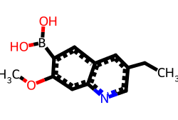 CCc1cnc2cc(OC)c(B(O)O)cc2c1